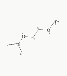 C=C(C)OCCOCCC